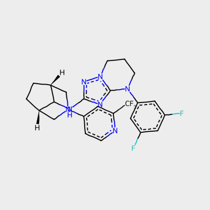 Fc1cc(F)cc(N2CCCn3nc(NC4[C@@H]5CC[C@H]4CN(c4ccnc(C(F)(F)F)c4)C5)nc32)c1